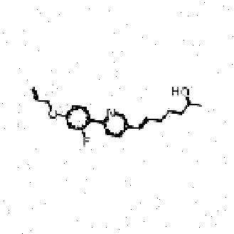 C=CCOc1ccc(-c2ccc(/C=C/CCCC(C)O)cn2)c(F)c1